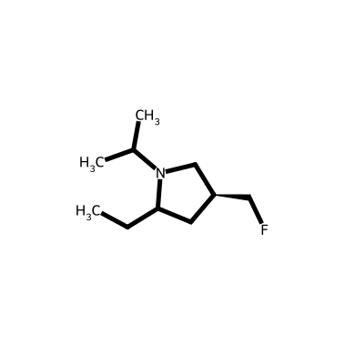 CCC1C[C@H](CF)CN1C(C)C